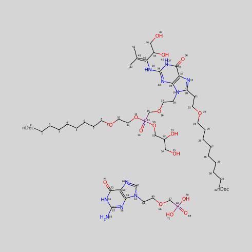 CCCCCCCCCCCCCCCCCCOCCOP(=O)(COCCn1c(CCOCCCCCCCCCCCCCCCCCC)nc2c(=O)[nH]c(NC(=C(C)C)C(O)CO)nc21)OCC(O)CO.Nc1nc2c(ncn2CCOCP(=O)(O)O)c(=O)[nH]1